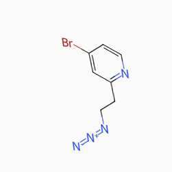 [N-]=[N+]=NCCc1cc(Br)ccn1